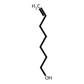 C=CC[CH]CCCO